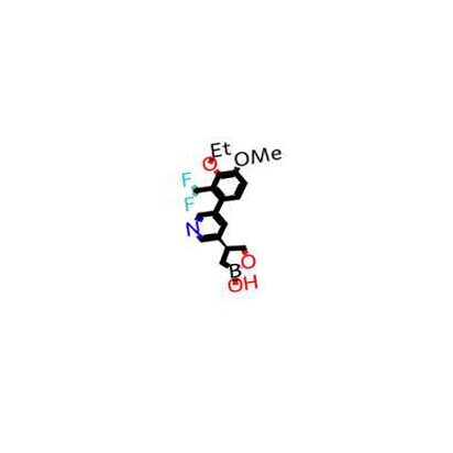 CCOc1c(OC)ccc(-c2cncc([C@H]3COB(O)C3)c2)c1C(F)F